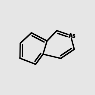 C1=Cc2ccccc2C=[As]1